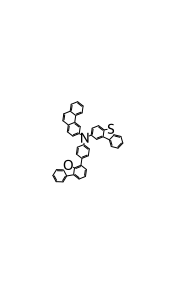 c1ccc2c(c1)ccc1ccc(N(c3ccc(-c4cccc5c4oc4ccccc45)cc3)c3ccc4sc5ccccc5c4c3)cc12